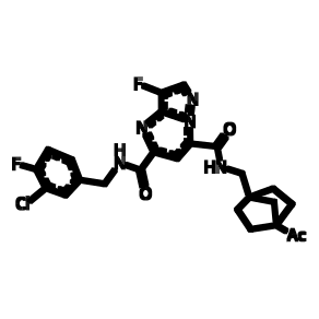 CC(=O)C12CCC(CNC(=O)c3cc(C(=O)NCc4ccc(F)c(Cl)c4)nc4c(F)cnn34)(CC1)C2